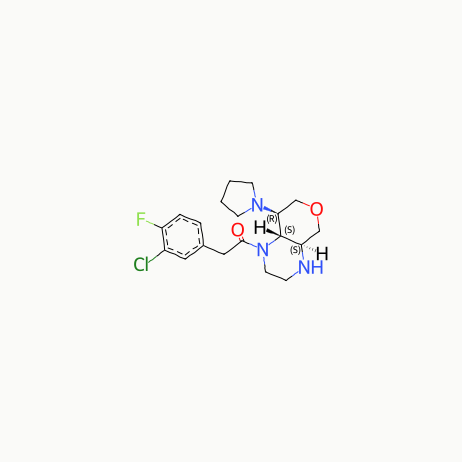 O=C(Cc1ccc(F)c(Cl)c1)N1CCN[C@@H]2COC[C@H](N3CCCC3)[C@H]21